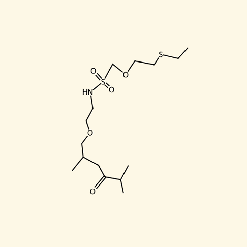 CCSCCOCS(=O)(=O)NCCOCC(C)CC(=O)C(C)C